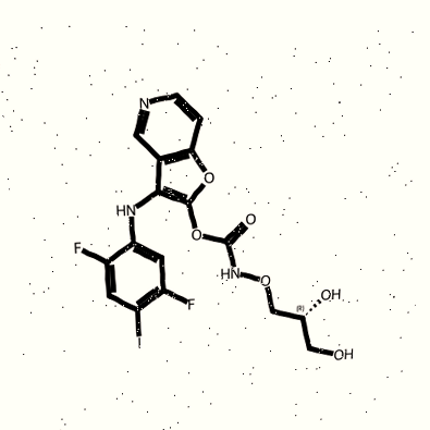 O=C(NOC[C@H](O)CO)Oc1oc2ccncc2c1Nc1cc(F)c(I)cc1F